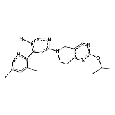 Cc1cnc(-c2cc(N3CCc4nc(OC(C)C)ncc4C3)ncc2Cl)c(C)c1